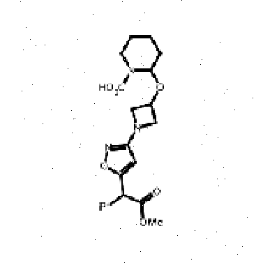 COC(=O)C(c1cc(N2CC(OC3CCCCN3C(=O)O)C2)no1)C(C)C